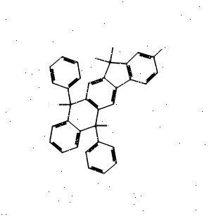 CC1(C)c2cc(Br)ccc2-c2cc3c(cc21)C(O)(c1ccccc1)c1ccccc1C3(O)c1ccccc1